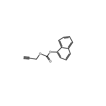 C#CCOC(=O)Oc1cccc2ccccc12